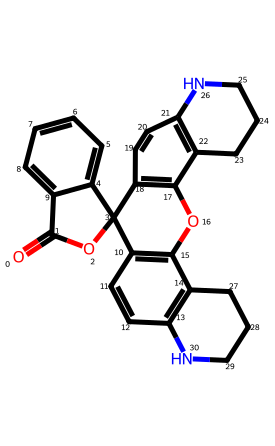 O=C1OC2(c3ccccc31)c1ccc3c(c1Oc1c2ccc2c1CCCN2)CCCN3